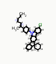 C=C/C=C\C=C(/C)c1ccc(-n2c3cc(Cl)ccc3c3cc4c(cc32)-c2ccccc2C42CCCCC2)cc1